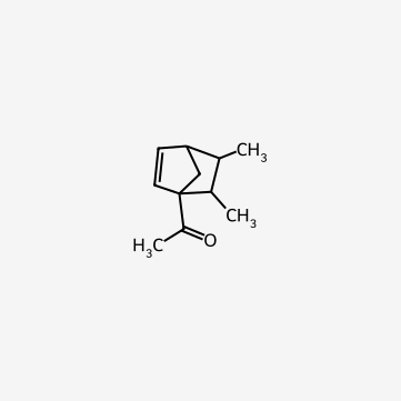 CC(=O)C12C=CC(C1)C(C)C2C